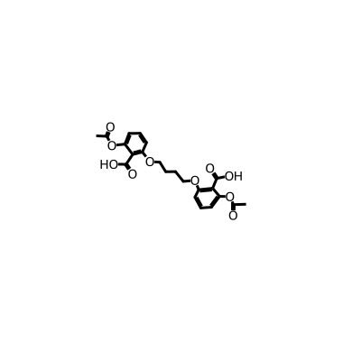 CC(=O)Oc1cccc(OCCCCOc2cccc(OC(C)=O)c2C(=O)O)c1C(=O)O